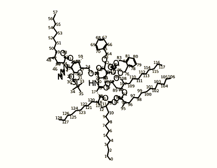 CCCCCCCCCCCC(C)C(=O)O[C@@H](CC(=O)NC1[C@H](OCC2OC(O[Si](C)(C)C(C)(C)C)C(N=[N+]=[N-])[C@@H](OC(=O)C[C@H](C)C(C)CCCCCCCCC)[C@@H]2C)OC(COCc2ccccc2)[C@@H](OP2(=O)OCc3ccccc3CO2)[C@@H]1OC(=O)C[C@H](OC(=O)C(C)CCCCCCCCCCC)C(C)CCCCCCCCC)C(C)CCCCCCCCC